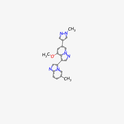 COc1cc(-c2cnn(C)c2)cn2ncc(-c3cnc4ccc(C)cn34)c12